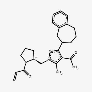 C=CC(=O)N1CCC[C@H]1Cn1nc(C2CCCc3ccccc3C2)c(C(N)=O)c1N